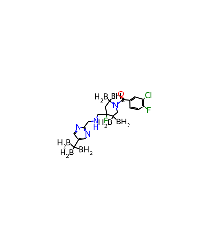 BC(B)(B)c1cnc(CNCC2(F)CC(B)(B)N(C(=O)c3ccc(F)c(Cl)c3)CC2(B)B)nc1